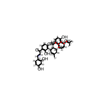 CC(C)=CCc1c(O)ccc(C(=O)[C@@H]2[C@H](c3c(O)ccc(C(=O)/C=C/c4ccc(O)cc4O)c3O)C=C(C)C[C@H]2c2ccc(O)cc2O)c1O